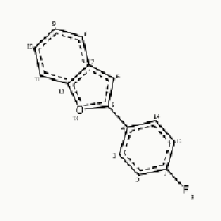 Fc1ccc(-c2cc3ccccc3o2)cc1